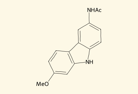 COc1ccc2c(c1)[nH]c1ccc(NC(C)=O)cc12